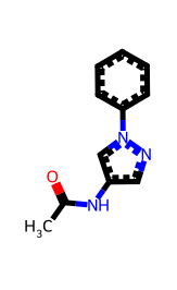 CC(=O)Nc1cnn(-c2ccccc2)c1